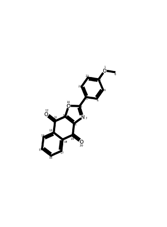 COc1ccc(-c2nc3c(o2)C(=O)c2ccccc2C3=O)cc1